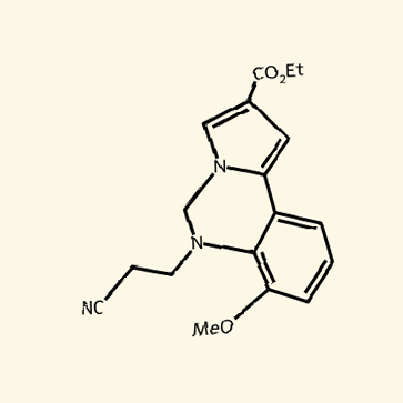 CCOC(=O)c1cc2n(c1)CN(CCC#N)c1c(OC)cccc1-2